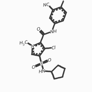 Cn1cc(S(=O)(=O)NC2CCCC2)c(Cl)c1C(=O)Nc1ccc(F)c(C#N)c1